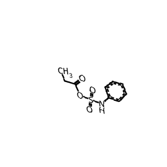 CCC(=O)OS(=O)(=O)Nc1ccccc1